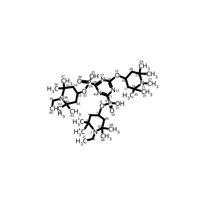 CCN1C(C)(C)CC(OP(=O)(O)c2nc(OC3CC(C)(C)N(C)C(C)(C)C3)nc(P(=O)(O)OC3CC(C)(C)N(CC)C(C)(C)C3)n2)CC1(C)C